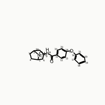 CN1C2CCC1CC(NC(=O)c1ccc(Oc3ccccc3)cc1)C2